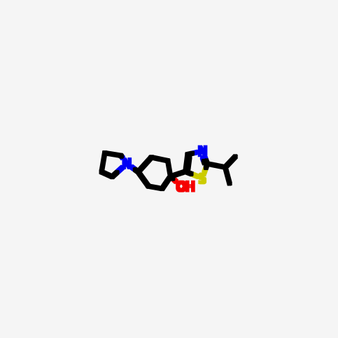 CC(C)c1ncc(C2(O)CCC(N3CCCC3)CC2)s1